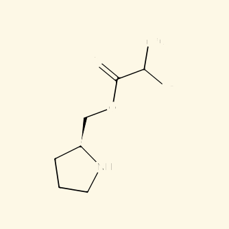 CCCCC(CC)C(=O)OC[C@@H]1CCCN1